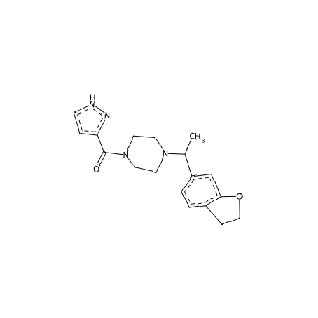 CC(c1ccc2c(c1)OCC2)N1CCN(C(=O)c2cc[nH]n2)CC1